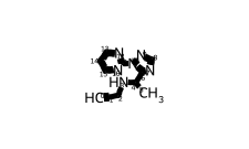 C#CCNC(C)c1ncnn1-c1ncccn1